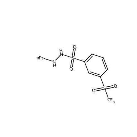 CCCNNS(=O)(=O)c1cccc(S(=O)(=O)C(F)(F)F)c1